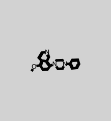 COc1ccc(N2CCN(c3ccccc3)CC2)c2cnccc12